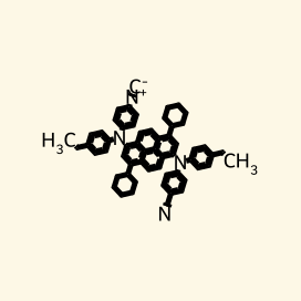 [C-]#[N+]c1ccc(N(c2ccc(CC)cc2)c2cc(C3CCCCC3)c3ccc4c(N(c5ccc(C#N)cc5)c5ccc(CC)cc5)cc(C5CCCCC5)c5ccc2c3c54)cc1